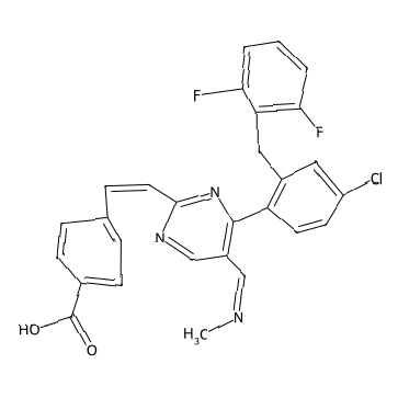 C/N=C\c1cnc(/C=C\c2ccc(C(=O)O)cc2)nc1-c1ccc(Cl)cc1Cc1c(F)cccc1F